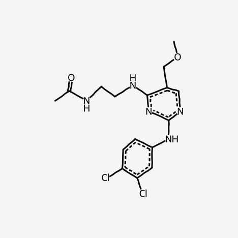 COCc1cnc(Nc2ccc(Cl)c(Cl)c2)nc1NCCNC(C)=O